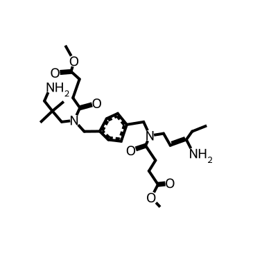 CC/C(N)=C\CN(Cc1ccc(CN(CC(C)(C)CN)C(=O)CCC(=O)OC)cc1)C(=O)CCC(=O)OC